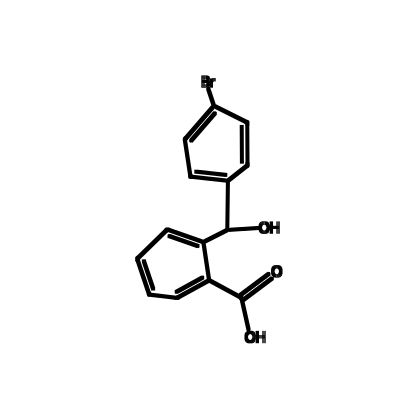 O=C(O)c1ccccc1C(O)c1ccc(Br)cc1